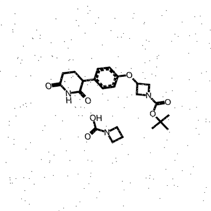 CC(C)(C)OC(=O)N1CC(Oc2ccc(C3CCC(=O)NC3=O)cc2)C1.O=C(O)N1CCC1